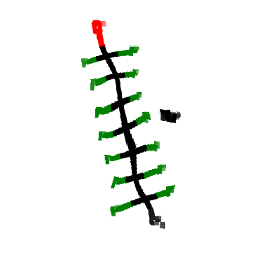 [Na+].[O-]C(F)(F)C(F)(F)C(F)(F)C(F)(F)C(F)(F)C(F)(F)C(F)(F)C(F)(F)F